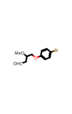 COC(CC=O)COc1ccc(Br)cc1